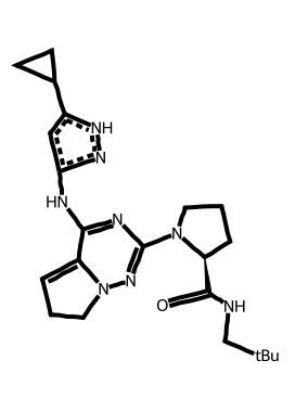 CC(C)(C)CNC(=O)[C@@H]1CCCN1C1=NN2CCC=C2C(Nc2cc(C3CC3)[nH]n2)=N1